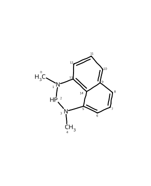 CN1PN(C)c2cccc3cccc1c23